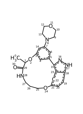 CC1Oc2cc(cc(N3CCOCC3)c2)-c2n[nH]c3ccc(cc23)OCCCNC1=O